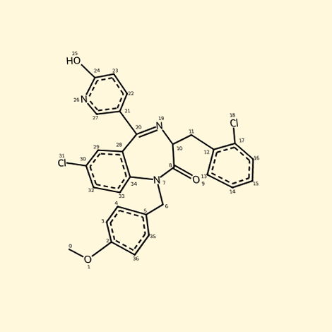 COc1ccc(CN2C(=O)C(Cc3ccccc3Cl)N=C(c3ccc(O)nc3)c3cc(Cl)ccc32)cc1